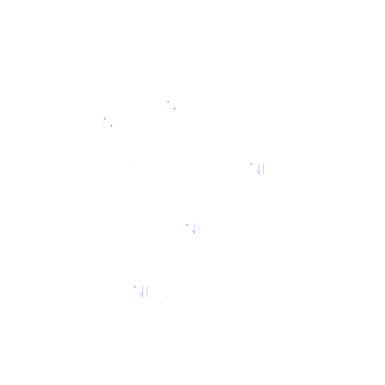 Nc1cc2ncnc-2c(N)[nH]1